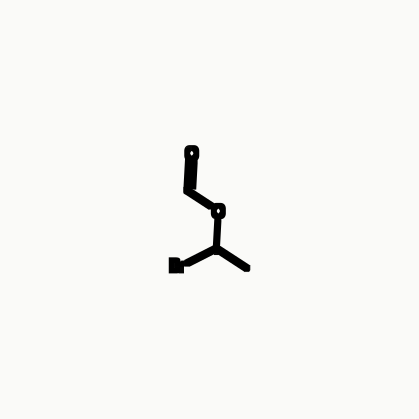 C[C](Br)OC=O